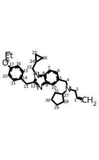 C=CCN(Cc1ccc2c(c1)nc(Cc1ccc(OCC)cc1)n2CC1CC1)C1CCCC1